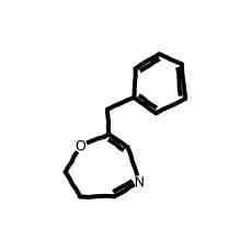 C1=NC=C(Cc2ccccc2)OCC1